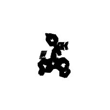 Cc1cc(F)c2c(c1)c1c(n2CC(C)(O)c2ccncc2)CCN2CCCC12